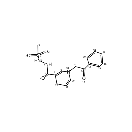 CS(=O)(=O)NNC(=O)C1=CN(CC(=O)c2ccccc2)C=CC1